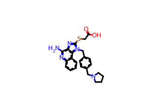 Nc1nc2ccccc2c2c1nc(SCC(=O)O)n2Cc1ccc(CN2CCCC2)cc1